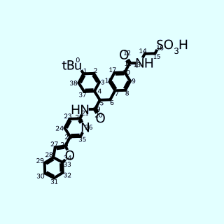 CC(C)(C)c1ccc(C(Cc2ccc(C(=O)NCCS(=O)(=O)O)cc2)C(=O)Nc2ccc(-c3cc4ccccc4o3)cn2)cc1